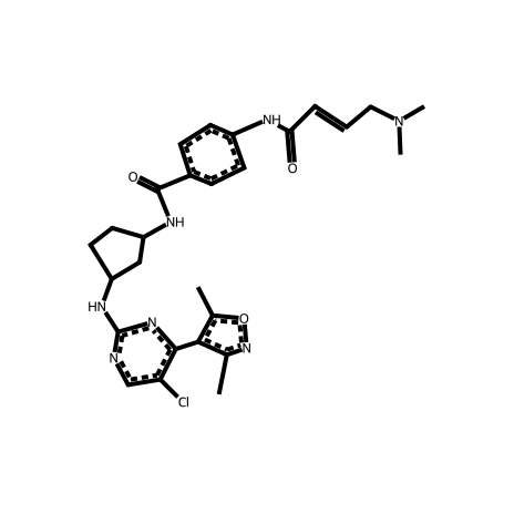 Cc1noc(C)c1-c1nc(NC2CCC(NC(=O)c3ccc(NC(=O)/C=C/CN(C)C)cc3)C2)ncc1Cl